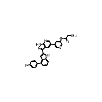 CC(C)(C)CC(=O)Nc1cncc(-c2cnc3[nH]nc(-c4cc5c(-c6ccc(F)cc6)cccc5[nH]4)c3c2)c1